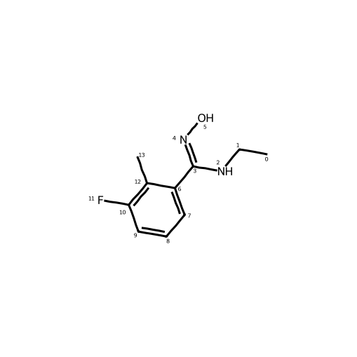 CCN/C(=N\O)c1cccc(F)c1C